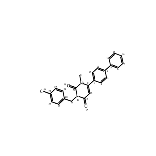 Cn1c(-c2ccc(-c3ccccc3)cc2)cc(=O)n(Cc2ccc(Cl)cc2)c1=O